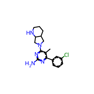 Cc1c(-c2cccc(Cl)c2)nc(N)nc1N1CC2CCCNC2C1